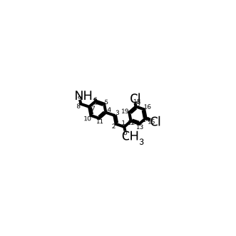 CC(/C=C/c1ccc(CN)cc1)c1cc(Cl)cc(Cl)c1